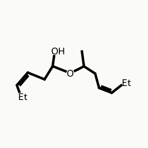 CC/C=C\CC(C)OC(O)C/C=C\CC